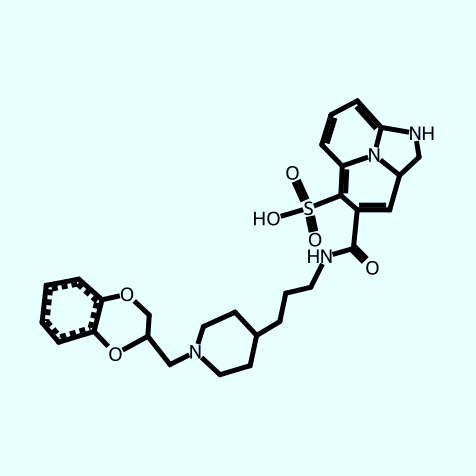 O=C(NCCCC1CCN(CC2COc3ccccc3O2)CC1)C1=CC2CNC3=CC=CC(=C1S(=O)(=O)O)N32